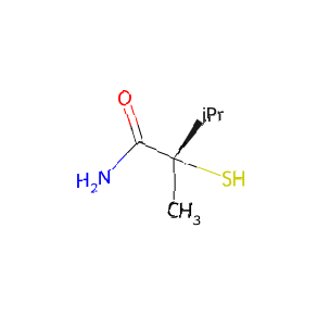 CC(C)[C@](C)(S)C(N)=O